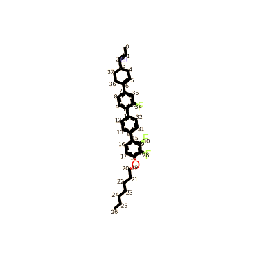 C/C=C/C1CC=C(c2ccc(-c3ccc(-c4ccc(OCCCCCCC)c(F)c4F)cc3)c(F)c2)CC1